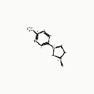 C[C@@H]1CCN(c2ccc(C(F)(F)F)nc2)C1